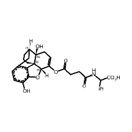 CC(C)C(NC(=O)CCC(=O)OC1=CC[C@@]2(O)[C@@H]3CCC[C@@]24c2c(ccc(O)c2O[C@@H]14)C3)C(=O)O